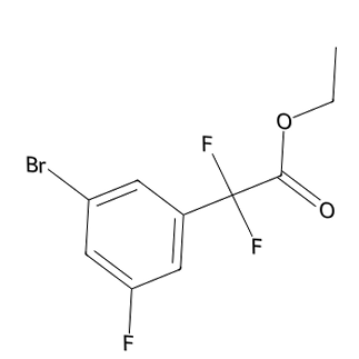 CCOC(=O)C(F)(F)c1cc(F)cc(Br)c1